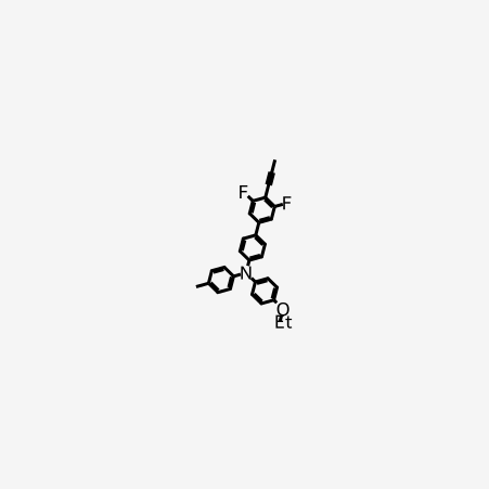 CC#Cc1c(F)cc(-c2ccc(N(c3ccc(C)cc3)c3ccc(OCC)cc3)cc2)cc1F